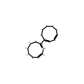 C1=CCCCCCC(C2=NC=CCCCCC2)=C1